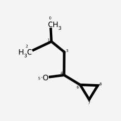 CC(C)CC([O])C1CC1